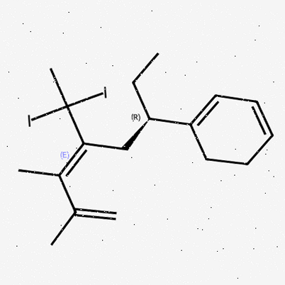 C=C(C)/C(C)=C(\C[C@@H](CC)C1=CC=CCC1)C(C)(I)I